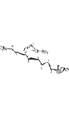 CCCCCCCCCCCCCCCCCCN.CCCOCCC